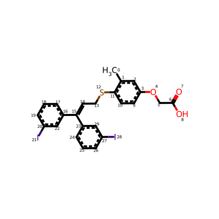 Cc1cc(OCC(=O)O)ccc1SCC=C(c1cccc(I)c1)c1cccc(I)c1